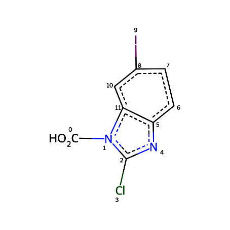 O=C(O)n1c(Cl)nc2ccc(I)cc21